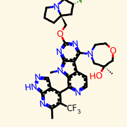 Cc1nc2[nH]ncc2c(-c2nccc3c4c(N5CCOC[C@@](C)(O)C5)nc(OC[C@@]56CCCN5C[C@H](F)C6)nc4n(C)c23)c1C(F)(F)F